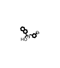 COc1cccc(CN(C)C(CO)c2ccc3ccccc3c2)c1